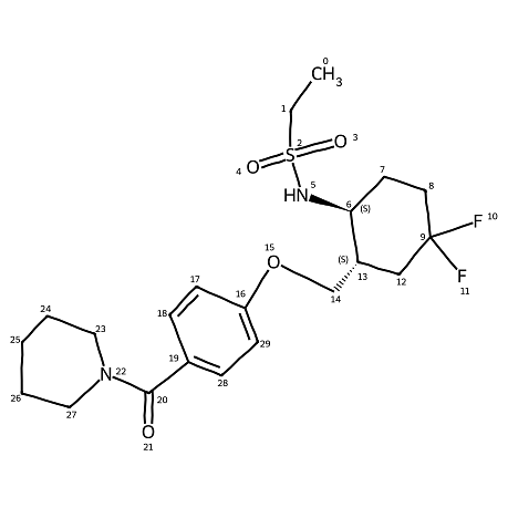 CCS(=O)(=O)N[C@H]1CCC(F)(F)C[C@@H]1COc1ccc(C(=O)N2CCCCC2)cc1